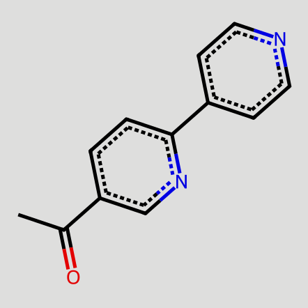 CC(=O)c1ccc(-c2ccncc2)nc1